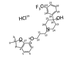 CC1(C)Cc2cccc(OCCCN3CCC(O)(c4cccc(C(F)(F)F)c4)CC3)c2O1.Cl